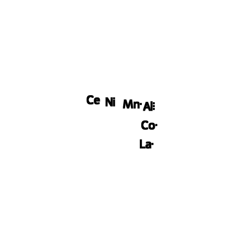 [Al].[Ce].[Co].[La].[Mn].[Ni]